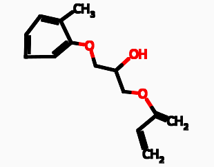 C=CC(=C)OCC(O)COc1ccccc1C